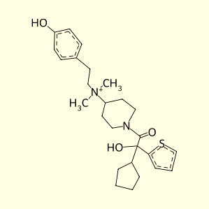 C[N+](C)(CCc1ccc(O)cc1)C1CCN(C(=O)C(O)(c2cccs2)C2CCCC2)CC1